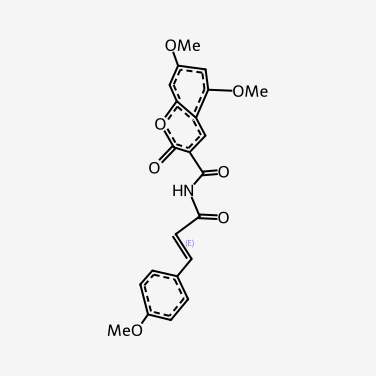 COc1ccc(/C=C/C(=O)NC(=O)c2cc3c(OC)cc(OC)cc3oc2=O)cc1